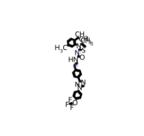 Cc1ccc(C(C)C)c(-n2c(C)cs/c2=N\C(=O)N/C=C/c2ccc(-c3ncn(-c4ccc(OC(F)(F)F)cc4)n3)cc2)c1